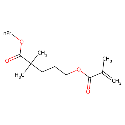 C=C(C)C(=O)OCCCC(C)(C)C(=O)OCCC